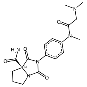 CN(C)CC(=O)N(C)c1ccc(N2C(=O)N3CC[CH][C@]3(C(N)=O)C2=O)cc1